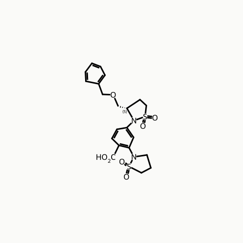 O=C(O)c1ccc(N2[C@H](COCc3ccccc3)CCS2(=O)=O)cc1N1CCCS1(=O)=O